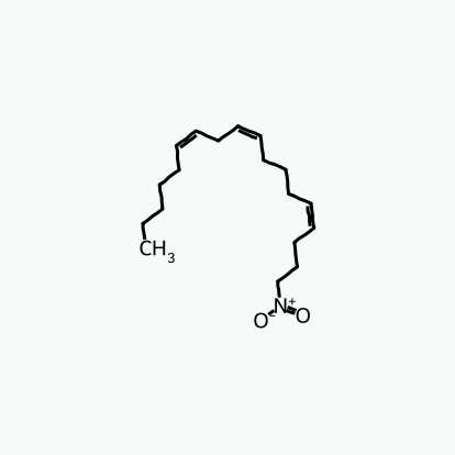 CCCCC/C=C\C/C=C\CCC/C=C\CCC[N+](=O)[O-]